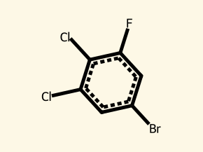 Fc1cc(Br)cc(Cl)c1Cl